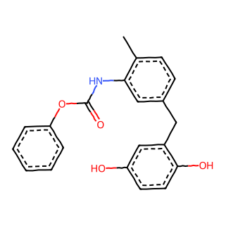 Cc1ccc(Cc2cc(O)ccc2O)cc1NC(=O)Oc1ccccc1